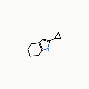 C1=C(C2CC2)[N]C2=C1CCCC2